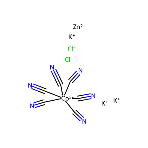 N#[C][Co-3]([C]#N)([C]#N)([C]#N)([C]#N)[C]#N.[Cl-].[Cl-].[K+].[K+].[K+].[Zn+2]